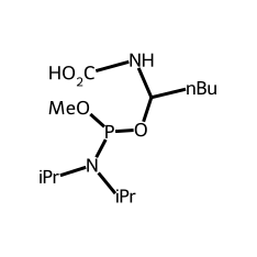 CCCCC(NC(=O)O)OP(OC)N(C(C)C)C(C)C